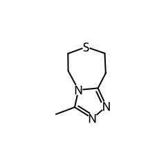 Cc1nnc2n1CCSCC2